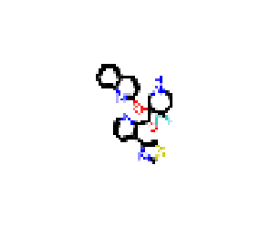 O=C(c1ncccc1-c1cscn1)C1(Oc2ccc3ccccc3n2)CNCCC1(F)F